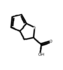 O=C(O)C1CC2C=CC=C2S1